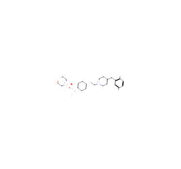 O=S(=O)(N[C@H]1CC[C@H](CCN2CCC(Cc3cc(Cl)ccc3Br)CC2)CC1)N1CCOCC1